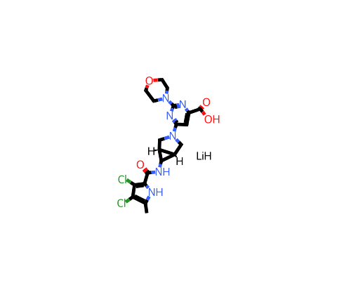 Cc1[nH]c(C(=O)NC2[C@H]3CN(c4cc(C(=O)O)nc(N5CCOCC5)n4)C[C@@H]23)c(Cl)c1Cl.[LiH]